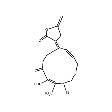 C=C1CCC(=C2/CC(=O)OC2=O)/C=C\CCCC(CC)/C(C(=O)O)=C\1C=O